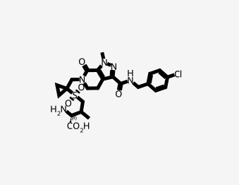 CC(CS(=O)(=O)C1(CN2CCc3c(C(=O)NCc4ccc(Cl)cc4)nn(C)c3C2=O)CC1)[C@@H](N)C(=O)O